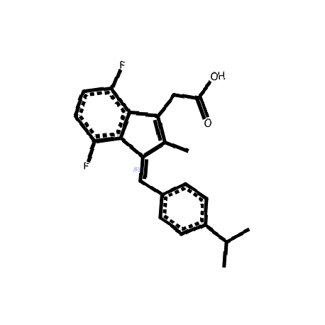 CC1=C(CC(=O)O)c2c(F)ccc(F)c2/C1=C/c1ccc(C(C)C)cc1